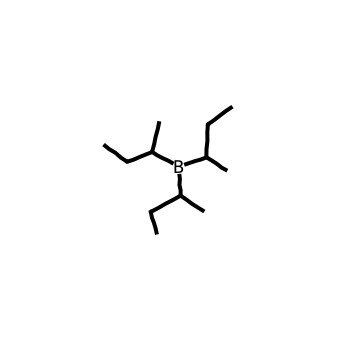 CCC(C)B(C(C)CC)C(C)CC